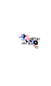 CCCC[C@@H](C(O)Nc1ccn[nH]1)N(C(=O)O)C(c1nc2c(OCC)ccc(OCC)c2n1C)C(C)(C)C